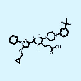 O=C(O)CCC(NC(=O)c1cc(OCC2CC2)n(-c2ccccc2)n1)C(=O)N1CCN(c2cccc(C(F)(F)F)c2)CC1